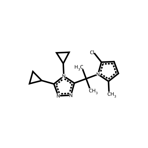 Cc1ccc(Cl)n1C(C)(C)c1nnc(C2CC2)n1C1CC1